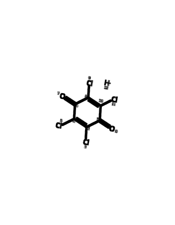 O=C1C(Cl)=C(Cl)C(=O)C(Cl)=C1Cl.[H]